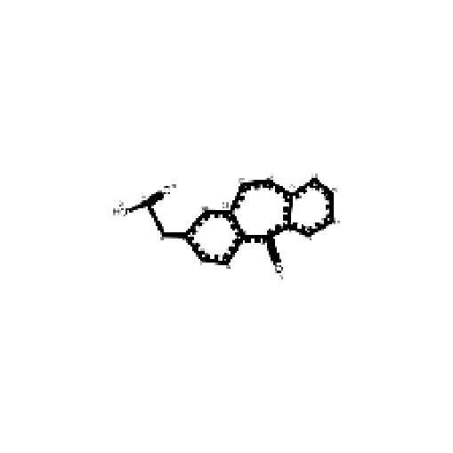 O=C(O)Cc1ccc2c(=O)c3ccccc3ccc2c1